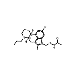 CCCN1CCC[C@@H]2c3cc(Br)cc4c3c(c(C)n4CONC(C)=O)C[C@H]21